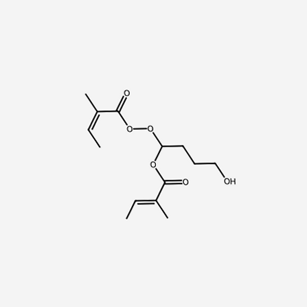 CC=C(C)C(=O)OOC(CCCO)OC(=O)C(C)=CC